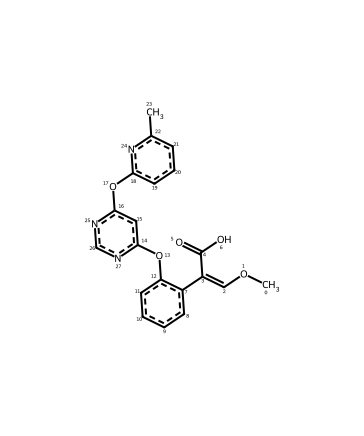 COC=C(C(=O)O)c1ccccc1Oc1cc(Oc2cccc(C)n2)ncn1